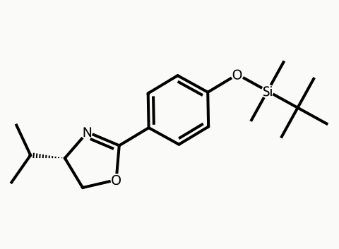 CC(C)[C@H]1COC(c2ccc(O[Si](C)(C)C(C)(C)C)cc2)=N1